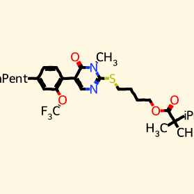 CCCCCc1ccc(-c2cnc(SCCCCOC(=O)C(C)(C)C(C)C)n(C)c2=O)c(OC(F)(F)F)c1